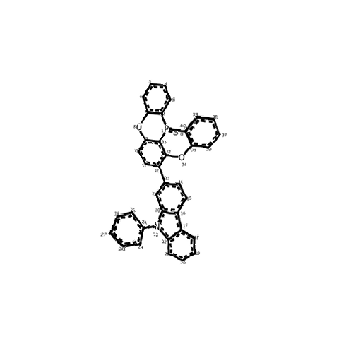 S=P12c3ccccc3Oc3ccc(-c4ccc5c6ccccc6n(-c6ccccc6)c5c4)c(c31)Oc1ccccc12